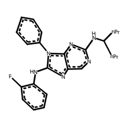 CCCC(CCC)Nc1ncc2nc(Nc3ccccc3F)n(-c3ccccc3)c2n1